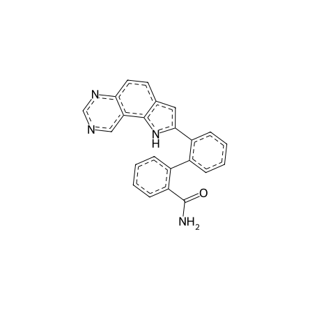 NC(=O)c1ccccc1-c1ccccc1-c1cc2ccc3ncncc3c2[nH]1